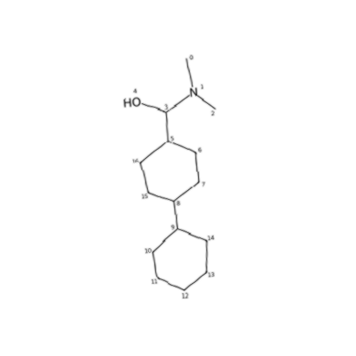 CN(C)C(O)C1CCC(C2CCCCC2)CC1